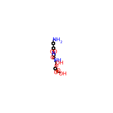 NCc1ccc(-c2ccc(S(=O)(=O)N3CCC4(CC3)C[C@@H](NC[C@H](O)COc3cccc(S(=O)(=O)CCO)c3)CO4)cc2)cc1